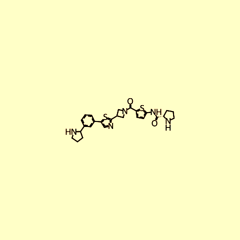 O=C(Nc1ccc(C(=O)N2CC(c3ncc(-c4cccc(C5CCCN5)c4)s3)C2)s1)[C@@H]1CCCN1